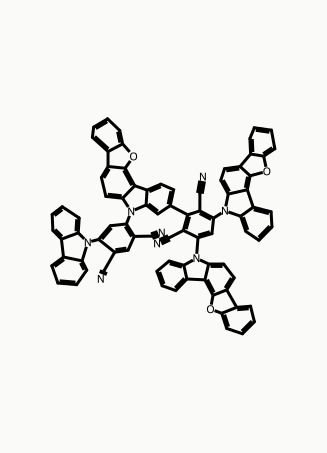 N#Cc1cc(C#N)c(-n2c3cc(-c4c(C#N)c(-n5c6ccccc6c6c7oc8ccccc8c7ccc65)cc(-n5c6ccccc6c6c7oc8ccccc8c7ccc65)c4C#N)ccc3c3c4oc5ccccc5c4ccc32)cc1-n1c2ccccc2c2ccccc21